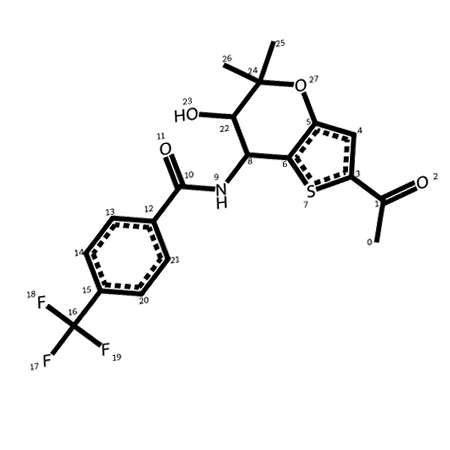 CC(=O)c1cc2c(s1)C(NC(=O)c1ccc(C(F)(F)F)cc1)C(O)C(C)(C)O2